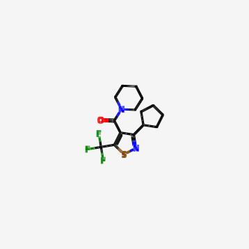 O=C(c1c(C2CCCC2)nsc1C(F)(F)F)N1CCCCC1